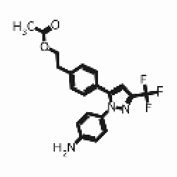 CC(=O)OCCc1ccc(-c2cc(C(F)(F)F)nn2-c2ccc(N)cc2)cc1